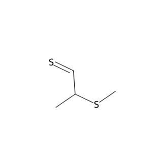 CSC(C)C=S